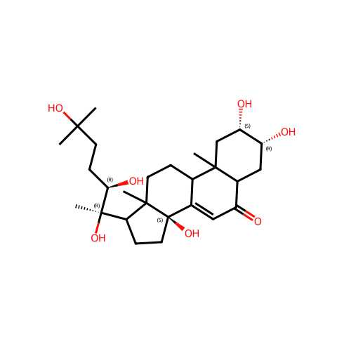 CC(C)(O)CC[C@@H](O)[C@](C)(O)C1CC[C@@]2(O)C3=CC(=O)C4C[C@@H](O)[C@@H](O)CC4(C)C3CCC12C